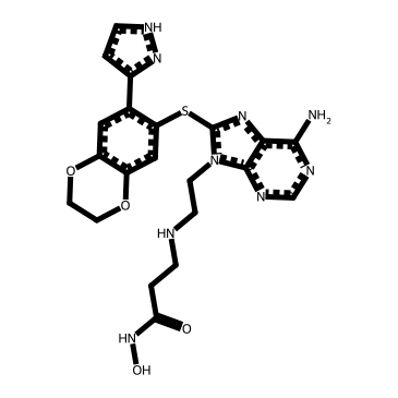 Nc1ncnc2c1nc(Sc1cc3c(cc1-c1cc[nH]n1)OCCO3)n2CCNCCC(=O)NO